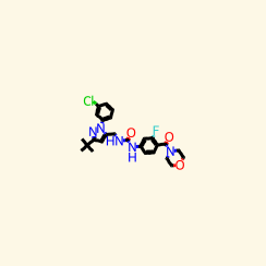 CC(C)(C)c1cc(CNC(=O)Nc2ccc(C(=O)N3CCOCC3)c(F)c2)n(-c2cccc(Cl)c2)n1